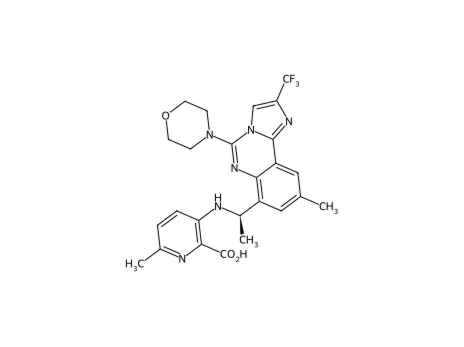 Cc1cc([C@@H](C)Nc2ccc(C)nc2C(=O)O)c2nc(N3CCOCC3)n3cc(C(F)(F)F)nc3c2c1